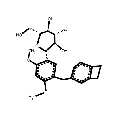 COc1cc(OC)c([C@@H]2O[C@H](CO)[C@@H](O)[C@H](O)[C@H]2O)cc1Cc1ccc2c(c1)CC2